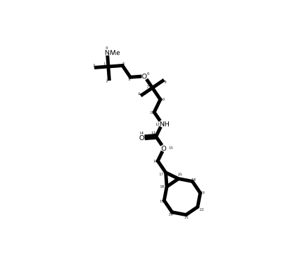 CNC(C)(C)CCOC(C)(C)CCNC(=O)OCC1C2CCCCCCC21